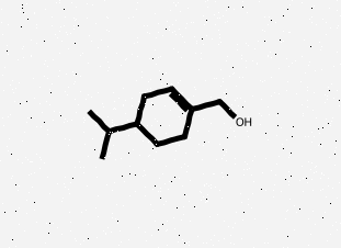 CC(C)C1CC=C(CO)CC1